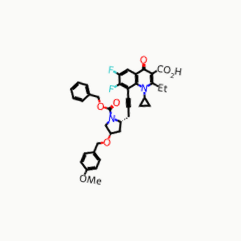 CCc1c(C(=O)O)c(=O)c2cc(F)c(F)c(C#CC[C@@H]3C[C@@H](OCc4ccc(OC)cc4)CN3C(=O)OCc3ccccc3)c2n1C1CC1